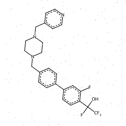 OC(F)(c1ccc(-c2ccc(CN3CCN(Cc4ccncc4)CC3)cc2)cc1F)C(F)(F)F